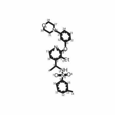 CCc1c(C(C)NS(=O)(=O)c2cccc(C)c2)ccnc1Oc1cccc(N2CCOCC2)c1